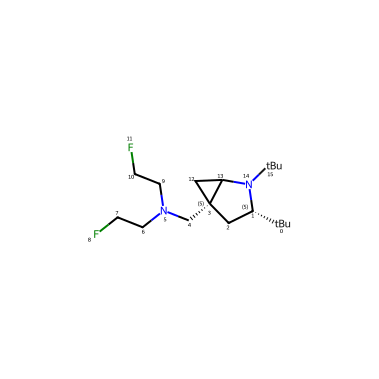 CC(C)(C)[C@@H]1C[C@@]2(CN(CCF)CCF)CC2N1C(C)(C)C